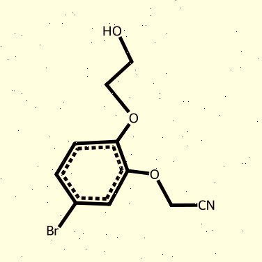 N#CCOc1cc(Br)ccc1OCCO